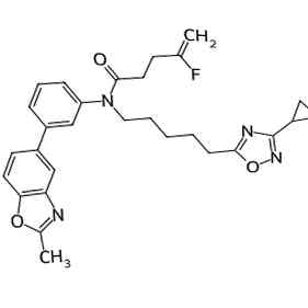 C=C(F)CCC(=O)N(CCCCCc1nc(C2CC2)no1)c1cccc(-c2ccc3oc(C)nc3c2)c1